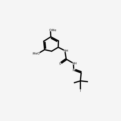 COC1=CC(NC(=S)N/N=C/C(C)(C)I)CC(OC)=C1